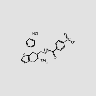 C[C@@H]1Cc2ccsc2[C@H](c2ccccc2)N1CCNC(=O)c1ccc([N+](=O)[O-])cc1.Cl